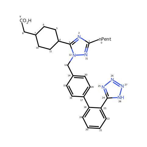 CCCCCc1nc(C2CCC(CC(=O)O)CC2)n(Cc2ccc(-c3ccccc3-c3nnn[nH]3)cc2)n1